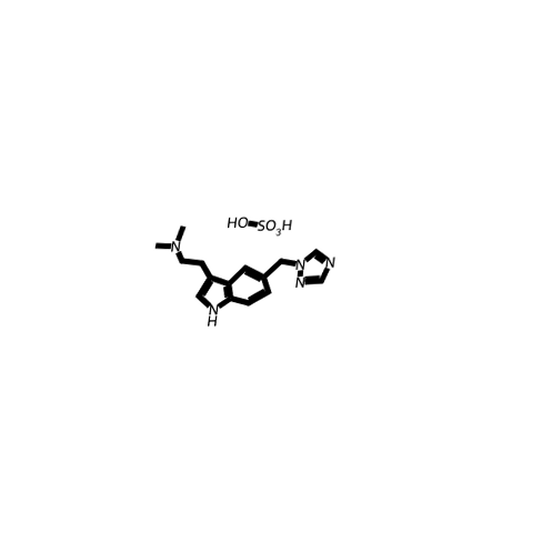 CN(C)CCc1c[nH]c2ccc(Cn3cncn3)cc12.O=S(=O)(O)O